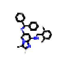 Cc1cccc(C)c1CNc1cc(N=C(c2ccccc2)c2ccccc2)cn2c(C)c(C)nc12